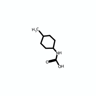 CC1CCC(NC(=O)O)CC1